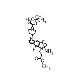 CCOC(=O)CCN(C(N)=O)c1c(F)cc2c(ccn2C2CCN(C(=O)OC(C)(C)C)CC2)c1F